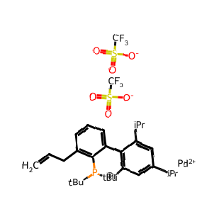 C=CCc1cccc(-c2c(C(C)C)cc(C(C)C)cc2C(C)C)c1P(C(C)(C)C)C(C)(C)C.O=S(=O)([O-])C(F)(F)F.O=S(=O)([O-])C(F)(F)F.[Pd+2]